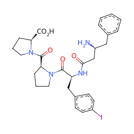 N[C@H](CC(=O)N[C@@H](Cc1ccc(I)cc1)C(=O)N1CCC[C@H]1C(=O)N1CCC[C@H]1C(=O)O)Cc1ccccc1